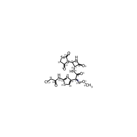 CO/N=C(\C(=O)N[C@@H]1C(=O)NC1N1C(=O)CSC1=O)c1csc(NC(=O)CCl)n1